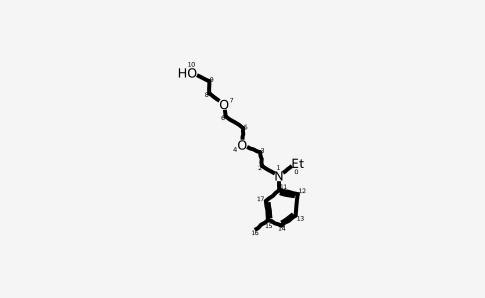 CCN(CCOCCOCCO)c1cccc(C)c1